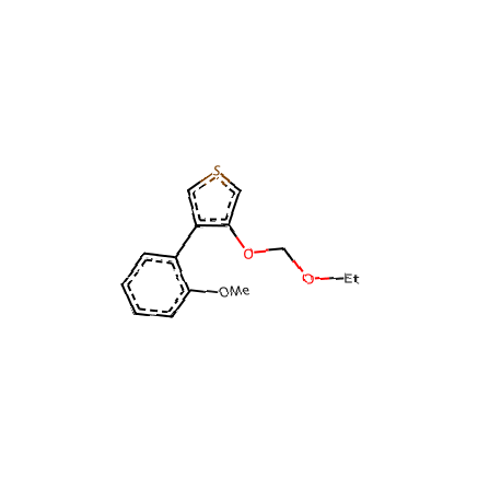 CCOCOc1cscc1-c1ccccc1OC